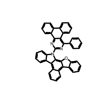 c1ccc(-c2nc(-n3c4ccccc4c4c5ccccc5c5c6ccccc6oc5c43)nc3c4ccccc4c4ccccc4c23)cc1